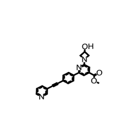 COC(=O)c1cc(-c2ccc(C#Cc3cccnc3)cc2)nc(N2CC(O)C2)c1